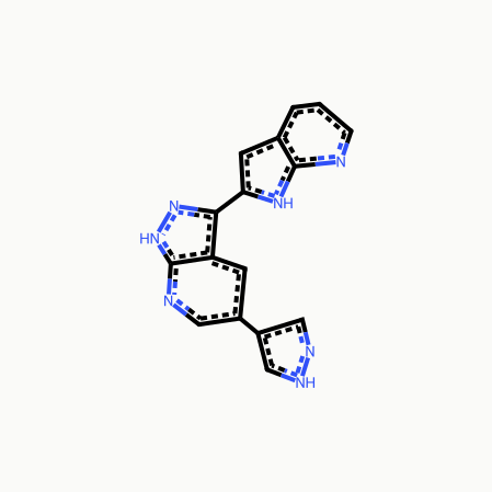 c1cnc2[nH]c(-c3n[nH]c4ncc(-c5cn[nH]c5)cc34)cc2c1